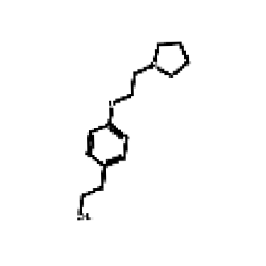 [CH2]CCc1ccc(OCCN2CCCC2)cc1